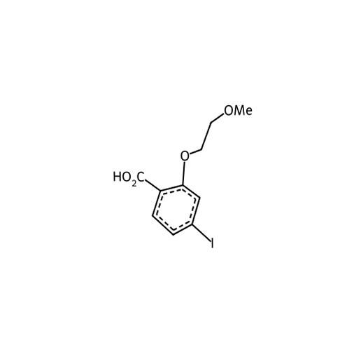 COCCOc1cc(I)ccc1C(=O)O